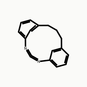 C1=Nc2cccc(c2)CCCc2cccc(c2)N=1